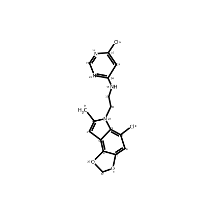 Cc1cc2c3c(cc(Cl)c2n1CCNc1cc(Cl)ncn1)OCO3